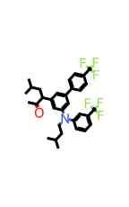 CC(=O)C(CC(C)C)c1cc(-c2ccc(C(F)(F)F)cc2)cc(N(CCC(C)C)c2cccc(C(F)(F)F)c2)c1